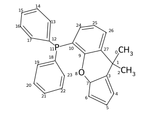 CC1(C)C2=CC=CC2Oc2c(P(c3ccccc3)c3ccccc3)cccc21